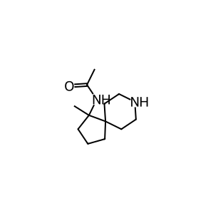 CC(=O)NC1(C)CCCC12CCNCC2